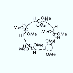 COC1CC2/C=C\[C@@H]3CC(OC)[C@@H](/C=C\[C@H]4CC(OC)[C@@H](/C=C\[C@@H]5CC(OC)[C@@H](/C=C\[C@H]6CC(OC)[C@@H](/C=C\1CCC2OC)CC6OC)CC5OC)CC4OC)CC3OC